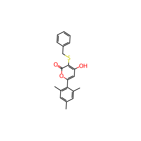 Cc1cc(C)c(-c2cc(O)c(SCc3ccccc3)c(=O)o2)c(C)c1